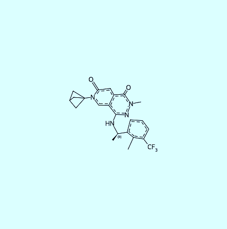 Cc1c([C@@H](C)Nc2nn(C)c(=O)c3cc(=O)n(C45CC(C4)C5)cc23)cccc1C(F)(F)F